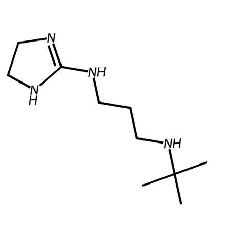 CC(C)(C)NCCCNC1=NCCN1